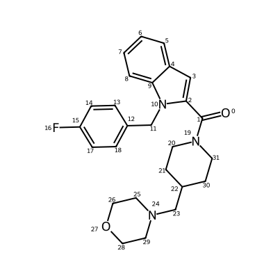 O=C(c1cc2ccccc2n1Cc1ccc(F)cc1)N1CCC(CN2CCOCC2)CC1